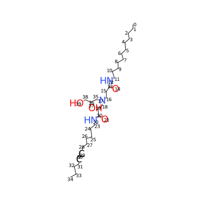 CCCCCCCCCCCCNC(=O)CCN(CCC(=O)NCCCCCCCCCCCC)CC(O)CO